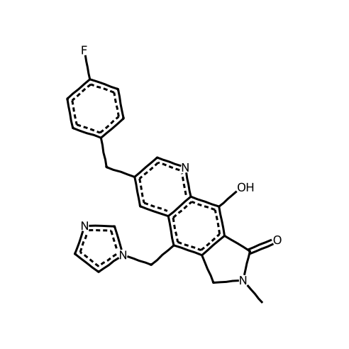 CN1Cc2c(c(O)c3ncc(Cc4ccc(F)cc4)cc3c2Cn2ccnc2)C1=O